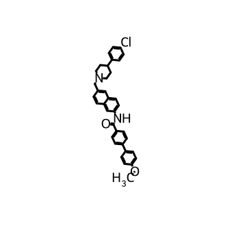 COc1ccc(-c2ccc(C(=O)Nc3ccc4cc(CN5CCC(c6ccc(Cl)cc6)CC5)ccc4c3)cc2)cc1